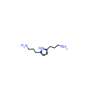 NCCCc1ccc(CCCN)[nH]1